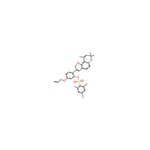 C=CCOc1ccc(C2=Cc3ccc4c(c3OC2)C(C)=CC(C)(C)O4)c(OS(=O)(=O)c2c(C)cc(C)cc2C)c1